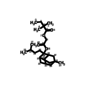 CCC(C)(C)C(=O)OCC(=O)OC1(CCC(C)C)C2CC3CC1CC(C)(C3)C2